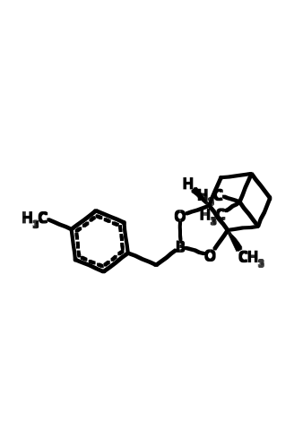 Cc1ccc(CB2O[C@@H]3CC4CC(C4(C)C)[C@]3(C)O2)cc1